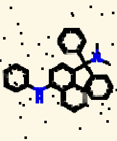 CN(C)C(c1ccccc1)(c1ccccc1)c1ccc(Nc2ccccc2)c2ccccc12